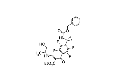 CCOC(=O)C(=CNC(C)CO)C(=O)c1c(F)c(F)c(C2(NC(=O)OCc3ccccc3)CC2)c(F)c1F